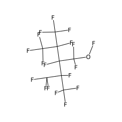 FOC(F)(F)C(F)(C(F)(C(F)(F)F)C(F)(F)F)C(F)(C(F)(F)F)C(F)(F)F